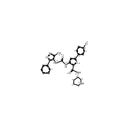 Cc1noc(-c2ccccc2)c1NC(=O)Nc1cc(-c2ccc(Cl)cc2)sc1C(=O)N[C@H]1CCCNC1